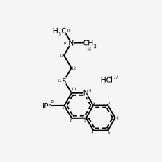 CC(C)c1cc2ccccc2nc1SCCN(C)C.Cl